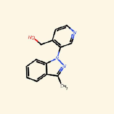 Cc1nn(-c2cnccc2CO)c2ccccc12